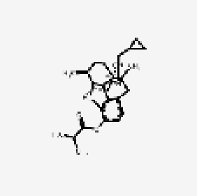 C=C1CC[C@@]2(O)C3Cc4ccc(OC(=O)C(C)C)c5c4[C@@]2(CC[N+]3(C)CC2CC2)[C@H]1O5